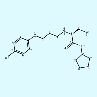 CC(C)C[C@H](NCCCOc1ccc(I)cc1)C(=O)OC1CCCC1